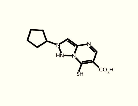 O=C(O)C1=C(S)N2NN(C3CCCC3)C=C2N=C1